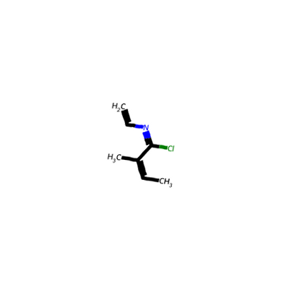 C=C/N=C(Cl)\C(C)=C/C